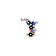 CC(=O)Nc1cc(-c2c[nH]nc2-c2c(F)ccc(NS(=O)(=O)c3cc(F)ccc3F)c2F)ccn1